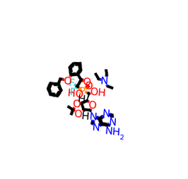 CC1(C)O[C@@H]2[C@H](O1)[C@@H](C(O)P(=O)(O)C(F)(F)C(=O)c1ccccc1OCc1ccccc1)O[C@H]2n1cnc2c(N)ncnc21.CCN(CC)CC